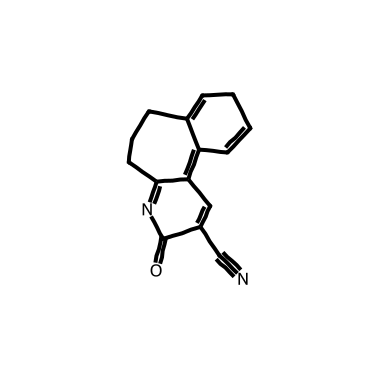 N#CC1=CC2=C3C=CCC=C3CCCC2=NC1=O